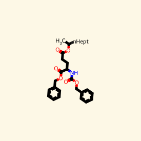 CCCCCCCC(C)OC(=O)CCC(NC(=O)OCc1ccccc1)C(=O)OCc1ccccc1